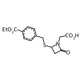 CCOC(=O)c1ccc(CSC2CC(=O)N2CC(=O)O)cc1